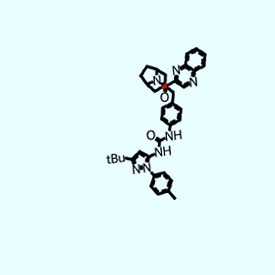 Cc1ccc(-n2nc(C(C)(C)C)cc2NC(=O)Nc2ccc(CC3CC4CCC(C3)N4C(=O)c3cnc4ccccc4n3)cc2)cc1